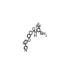 NCc1cc(NC(=O)C2CCc3ccc(Oc4ccnc(-c5ccncc5)c4)cc3C2)cc(C(F)(F)F)c1